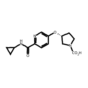 O=C(NC1CC1)c1ccc(O[C@@H]2CCN(C(=O)O)C2)cn1